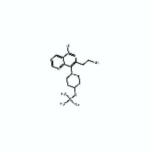 CC(C)(C)[Si](C)(C)OC1CCN(c2c(CCN)cc(Cl)c3cccnc23)CC1